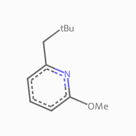 COc1cccc(CC(C)(C)C)n1